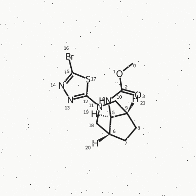 COC(=O)N[C@@H]1[C@@H]2CC[C@H]1CN(c1nnc(Br)s1)C2